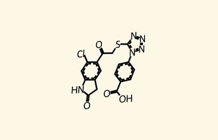 O=C1Cc2cc(C(=O)CSc3nnnn3-c3ccc(C(=O)O)cc3)c(Cl)cc2N1